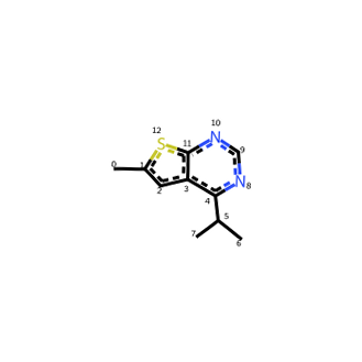 Cc1cc2c(C(C)C)ncnc2s1